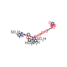 Cc1ccc(S(=O)(=O)O)c2c1[N+](C)=C(/C=C/C1=C(Oc3ccc(S(=O)(=O)O)cc3)C(=C/C=C3/N(OCCOCCOCCOCCCCC(=O)ON4C(=O)CCC4=O)c4c(S(=O)(=O)O)ccc(S(=O)(=O)O)c4C3(C)C)/CCC1)C2(C)C